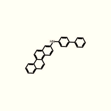 c1ccc(-c2ccc(Nc3ccc4c(ccc5c6ccccc6ccc45)c3)cc2)cc1